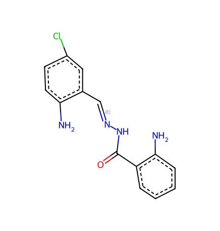 Nc1ccc(Cl)cc1/C=N/NC(=O)c1ccccc1N